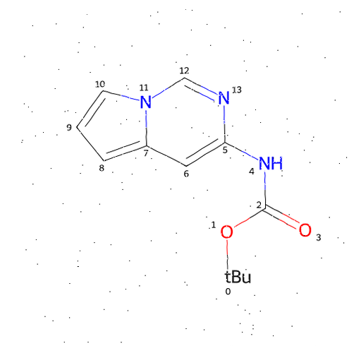 CC(C)(C)OC(=O)Nc1cc2cccn2cn1